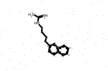 N=C(N)NCCCCc1ccc2ccccc2c1